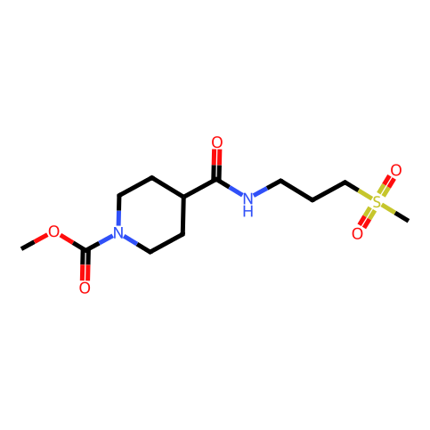 COC(=O)N1CCC(C(=O)NCCCS(C)(=O)=O)CC1